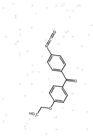 O=C=Nc1ccc(C(=O)c2ccc(OCC(=O)O)cc2)cc1